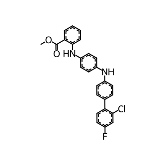 COC(=O)c1ccccc1Nc1ccc(Nc2ccc(-c3ccc(F)cc3Cl)cc2)cc1